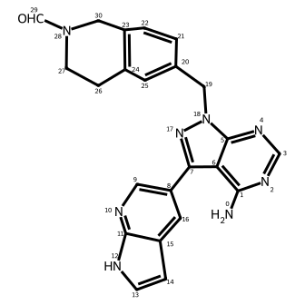 Nc1ncnc2c1c(-c1cnc3[nH]ccc3c1)nn2Cc1ccc2c(c1)CCN(C=O)C2